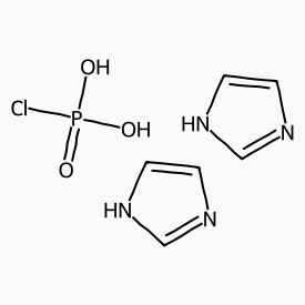 O=P(O)(O)Cl.c1c[nH]cn1.c1c[nH]cn1